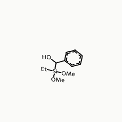 CC[Si](OC)(OC)C(O)c1ccccc1